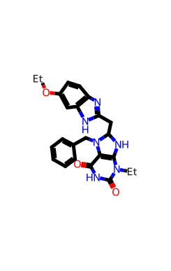 CCOc1ccc2nc(CC3Nc4c(c(=O)[nH]c(=O)n4CC)N3Cc3ccccc3)[nH]c2c1